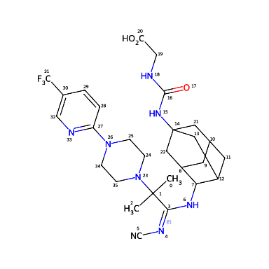 CC(C)(/C(=N\C#N)NC1C2CC3CC1CC(NC(=O)NCC(=O)O)(C3)C2)N1CCN(c2ccc(C(F)(F)F)cn2)CC1